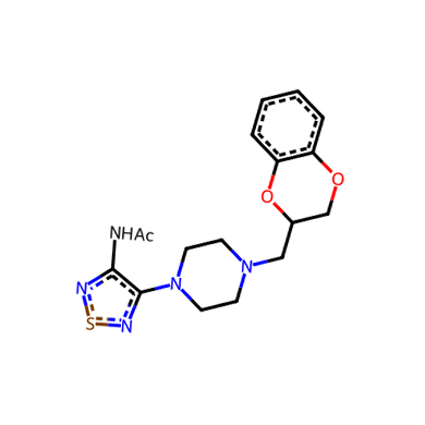 CC(=O)Nc1nsnc1N1CCN(CC2COc3ccccc3O2)CC1